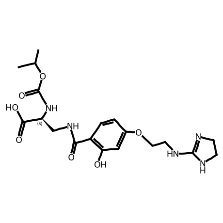 CC(C)OC(=O)N[C@@H](CNC(=O)c1ccc(OCCNC2=NCCN2)cc1O)C(=O)O